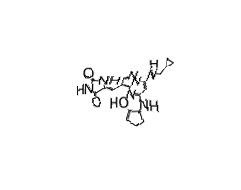 O=C1NC(=O)/C(=C/c2cnn3c(NCC4CC4)cc(NC4CCC[C@@H]4O)nc23)N1